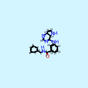 O=C(NCc1ccccc1)c1cccc(NC2=NC=NC3C=CNC23)c1